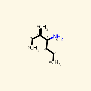 C=C(CC)C(N)CCC